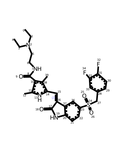 CCN(CC)CCNC(=O)c1c(C)[nH]c(/C=C2\C(=O)Nc3ccc(S(=O)(=O)Cc4ccc(F)c(F)c4)cc32)c1C